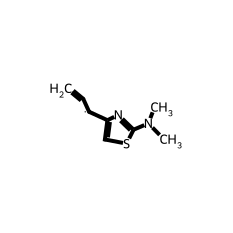 C=C[CH]c1csc(N(C)C)n1